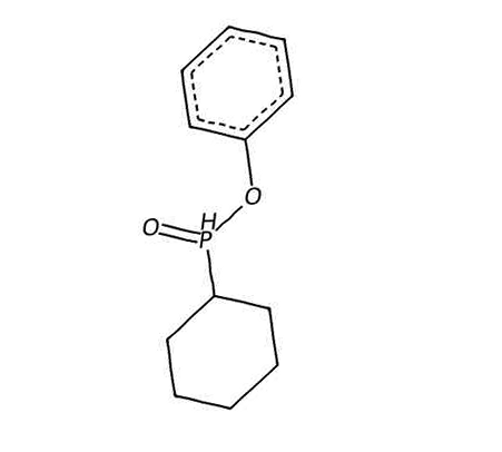 O=[PH](Oc1ccccc1)C1CCCCC1